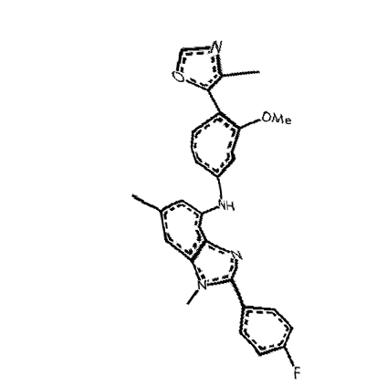 COc1cc(Nc2cc(C)cc3c2nc(-c2ccc(F)cc2)n3C)ccc1-c1ocnc1C